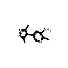 Cc1ncc(-c2c(C)noc2C)cc1N